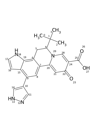 CC(C)(C)C1Cc2c(cc(-c3cn[nH]c3)c3cc[nH]c23)-c2cc(=O)c(C(=O)O)cn21